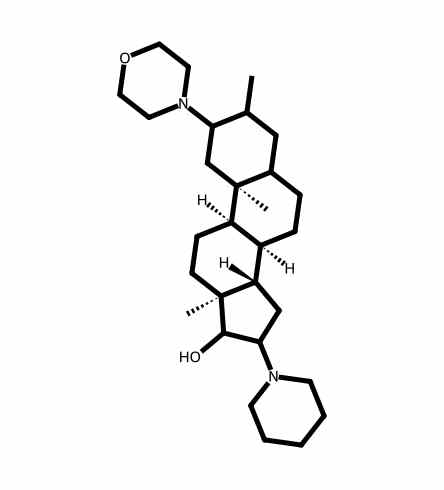 CC1CC2CC[C@@H]3[C@@H](CC[C@]4(C)C(O)C(N5CCCCC5)C[C@@H]34)[C@@]2(C)CC1N1CCOCC1